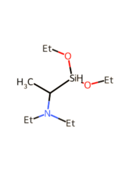 CCO[SiH](OCC)C(C)N(CC)CC